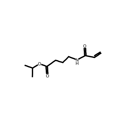 C=CC(=O)NCCCC(=O)OC(C)C